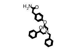 NC(=O)Cc1ccc(OCCN(Cc2ccccc2)CC(O)c2ccccc2)cc1